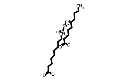 CCCCCCCCCC(=O)[O-].CCCCCCCCCC(=O)[O-].CCC[CH2][Sn+2][CH2]CCC